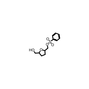 O=S(=O)(OCC1CCC(CO)O1)c1ccccc1